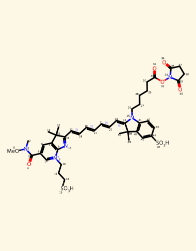 CON(C)C(=O)c1cc2c([n+](CCCS(=O)(=O)O)c1)N=C(/C=C/C=C/C=C/C=C1/N(CCCCCC(=O)ON3C(=O)CCC3=O)c3ccc(S(=O)(=O)O)cc3C1(C)C)C2(C)C